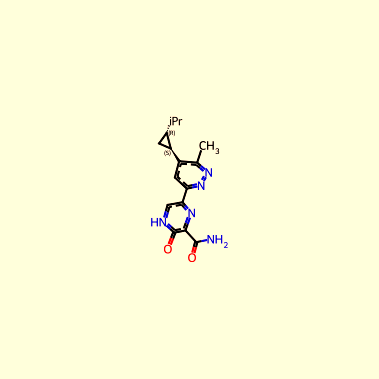 Cc1nnc(-c2c[nH]c(=O)c(C(N)=O)n2)cc1[C@H]1C[C@@H]1C(C)C